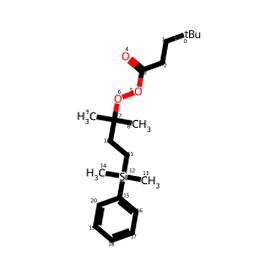 CC(C)(C)CCC(=O)OOC(C)(C)CC[Si](C)(C)c1ccccc1